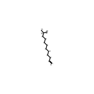 [CH]=CCCCCCCCCC(C)F